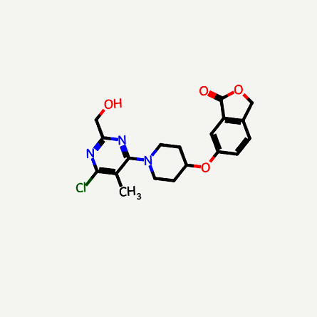 Cc1c(Cl)nc(CO)nc1N1CCC(Oc2ccc3c(c2)C(=O)OC3)CC1